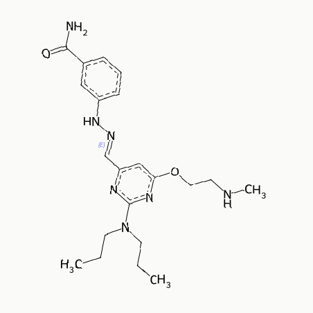 CCCN(CCC)c1nc(/C=N/Nc2cccc(C(N)=O)c2)cc(OCCNC)n1